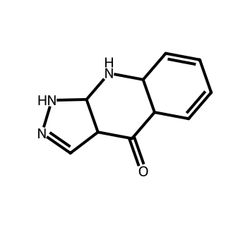 O=C1C2C=CC=CC2NC2NN=CC12